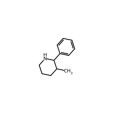 CC1CCCNC1c1ccccc1